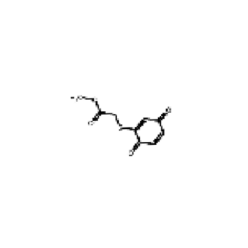 COC(=O)CSC1=CC(=O)C=CC1=O